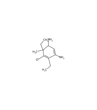 CCC1=C(Cl)C(C)(CC)C(N)C=C1N